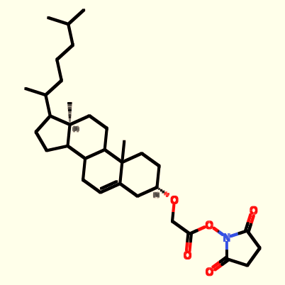 CC(C)CCCC(C)C1CCC2C3CC=C4C[C@@H](OCC(=O)ON5C(=O)CCC5=O)CCC4(C)C3CC[C@]12C